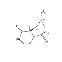 CC1([C@@H]2C[C@H]2C(F)(F)F)C(=O)NCCN1C(N)=O